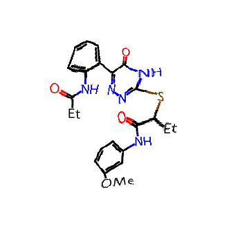 CCC(=O)Nc1ccccc1-c1nnc(SC(CC)C(=O)Nc2cccc(OC)c2)[nH]c1=O